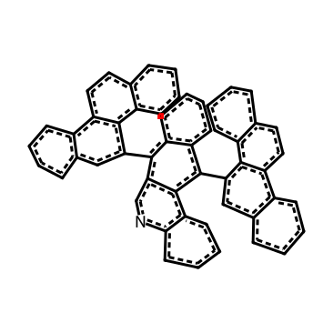 c1ccc2c(c1)cc(-c1c3ccccc3c(-c3cc4ccccc4c4ccc5ccccc5c34)c3c1cnc1ccccc13)c1c3ccccc3ccc21